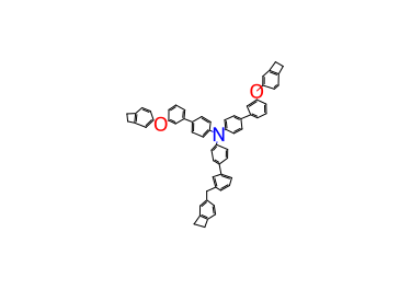 c1cc(Cc2ccc3c(c2)CC3)cc(-c2ccc(N(c3ccc(-c4cccc(Oc5ccc6c(c5)CC6)c4)cc3)c3ccc(-c4cccc(Oc5ccc6c(c5)CC6)c4)cc3)cc2)c1